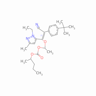 CCCC(C)OC(=O)OC(C)O/C(=C(/C#N)c1ccc(C(C)(C)C)cc1)c1cc(C)nn1CC